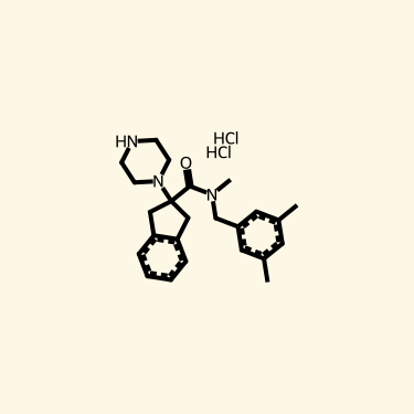 Cc1cc(C)cc(CN(C)C(=O)C2(N3CCNCC3)Cc3ccccc3C2)c1.Cl.Cl